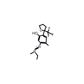 CCN(C)/C=N/c1cc(O)c(C2(C(F)(F)F)CCCO2)cc1C